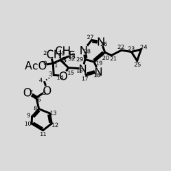 CC(=O)OC1(C)[C@@H](COC(=O)c2ccccc2)OC(n2cnc3c(CCC4CC4)ncnc32)[C@]1(C)F